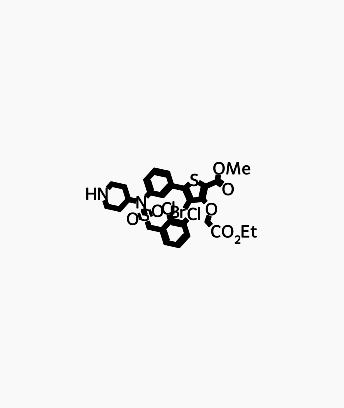 CCOC(=O)COc1c(C(=O)OC)sc(-c2cccc(N(C3CCNCC3)S(=O)(=O)Cc3cccc(Cl)c3Cl)c2)c1Br